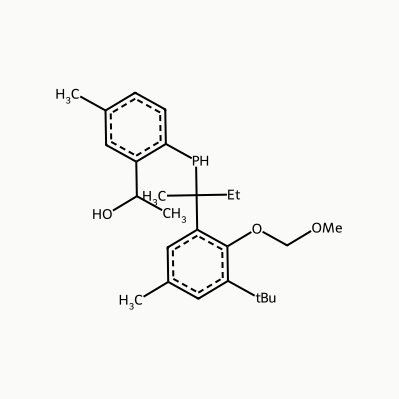 CCC(C)(Pc1ccc(C)cc1C(C)O)c1cc(C)cc(C(C)(C)C)c1OCOC